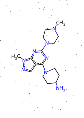 CN1CCN(c2nc(N3CCC(N)CC3)c3cnn(C)c3n2)CC1